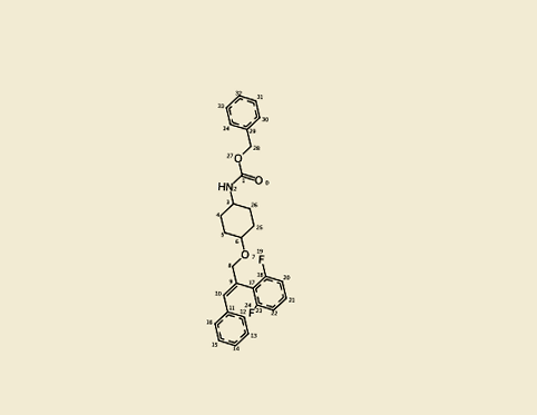 O=C(NC1CCC(OC/C(=C/c2ccccc2)c2c(F)cccc2F)CC1)OCc1ccccc1